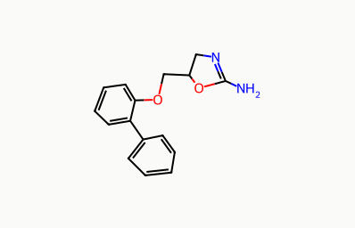 NC1=NCC(COc2ccccc2-c2ccccc2)O1